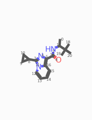 CC(NC(=O)c1nc(C2CC2)n2ccccc12)C(C)(C)C